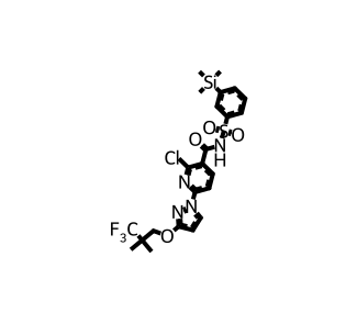 CC(C)(COc1ccn(-c2ccc(C(=O)NS(=O)(=O)c3cccc([Si](C)(C)C)c3)c(Cl)n2)n1)C(F)(F)F